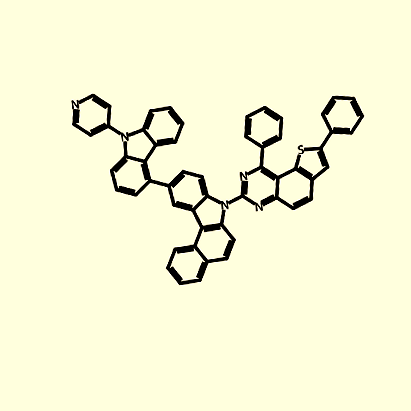 c1ccc(-c2cc3ccc4nc(-n5c6ccc(-c7cccc8c7c7ccccc7n8-c7ccncc7)cc6c6c7ccccc7ccc65)nc(-c5ccccc5)c4c3s2)cc1